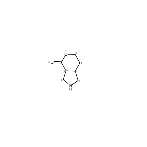 O=C1OCCC2CNC[C]12